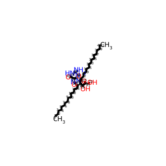 CCCCCCCCCCCCCCCC(=O)[C@@H]1[C@H](O)[C@@H](CO)O[C@@]1(C(=O)CCCCCCCCCCCCCCC)n1cnc2c(=O)[nH]c(N)nc21